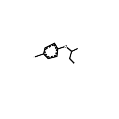 [CH2]c1ccc(OC(C)CC)cc1